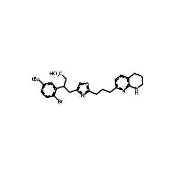 CC(C)(C)c1ccc(Br)c(C(CC(=O)O)Cc2csc(CCCc3ccc4c(n3)NCCC4)n2)c1